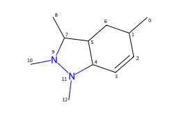 CC1C=CC2C(C1)C(C)N(C)N2C